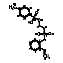 C=Cc1ccccc1CS(=O)(=O)CCOS(=O)(=O)c1ccc(C)cc1